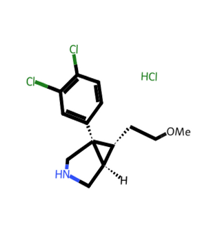 COCC[C@@H]1[C@H]2CNC[C@@]12c1ccc(Cl)c(Cl)c1.Cl